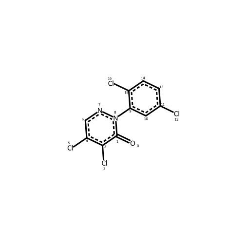 O=c1c(Cl)c(Cl)cnn1-c1cc(Cl)ccc1Cl